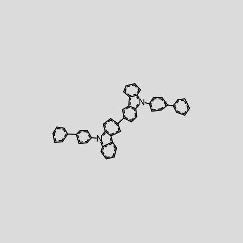 c1ccc(-c2ccc(-n3c4ccccc4c4cc(-c5ccc6c(c5)c5ccccc5n6-c5ccc(-c6ccccc6)cc5)ccc43)cc2)cc1